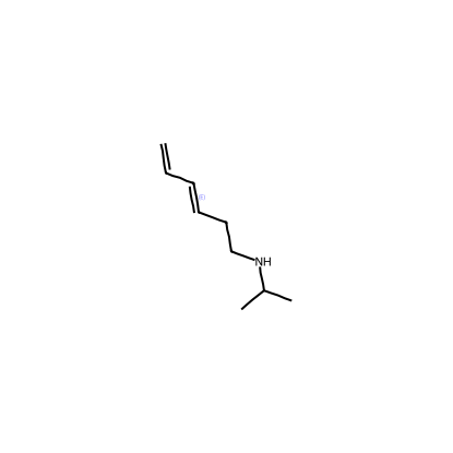 C=C/C=C/CCNC(C)C